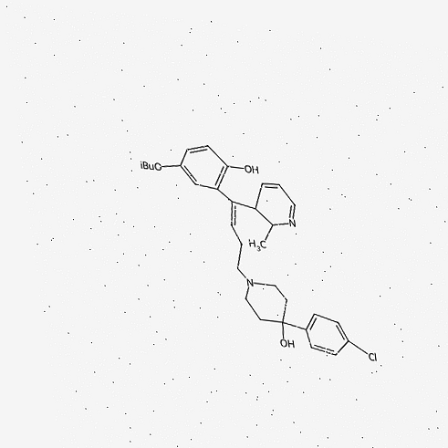 CC(C)COc1ccc(O)c(C(=CCCN2CCC(O)(c3ccc(Cl)cc3)CC2)C2C=CC=NC2C)c1